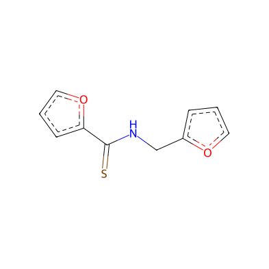 S=C(NCc1ccco1)c1ccco1